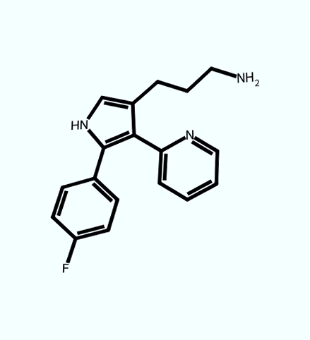 NCCCc1c[nH]c(-c2ccc(F)cc2)c1-c1ccccn1